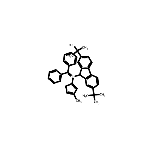 CC1=CC[C]([Zr](=[C](c2ccccc2)c2ccccc2)[CH]2c3cc(C(C)(C)C)ccc3-c3ccc(C(C)(C)C)cc32)=C1